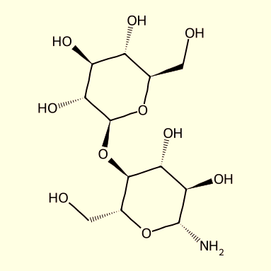 N[C@@H]1O[C@H](CO)[C@@H](O[C@@H]2O[C@H](CO)[C@@H](O)[C@H](O)[C@H]2O)[C@H](O)[C@H]1O